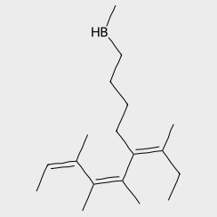 CBCCCCC(=C(\C)CC)/C(C)=C(C)\C(C)=C/C